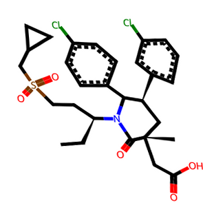 CC[C@@H](CCS(=O)(=O)CC1CC1)N1C(=O)[C@@](C)(CC(=O)O)C[C@H](c2cccc(Cl)c2)C1c1ccc(Cl)cc1